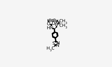 Cc1nnc(-c2ccc([C@H](CO[Si](C)(C)C(C)(C)C)NC(=O)OC(C)(C)C)cc2)s1